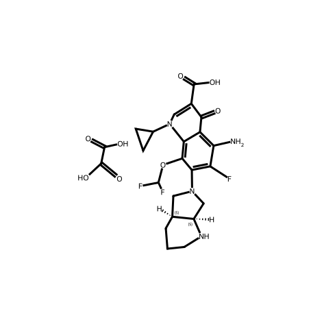 Nc1c(F)c(N2C[C@@H]3CCCN[C@@H]3C2)c(OC(F)F)c2c1c(=O)c(C(=O)O)cn2C1CC1.O=C(O)C(=O)O